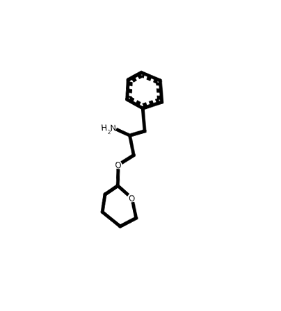 NC(COC1CCCCO1)Cc1ccccc1